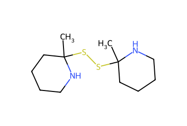 CC1(SSC2(C)CCCCN2)CCCCN1